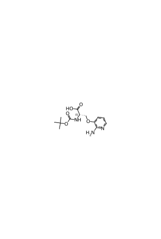 CC(C)(C)OC(=O)N[C@@H](COc1cccnc1N)C(=O)O